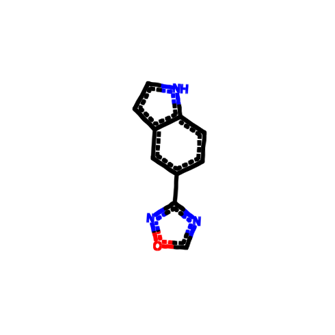 c1cc2cc(-c3ncon3)ccc2[nH]1